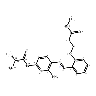 CNC(=O)OCOc1ccccc1/N=N/c1ccc(NC(=O)[C@H](C)N)nc1N